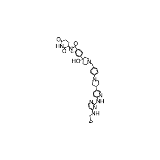 O=C1CCC(N2Cc3cc(C4(O)CCN(Cc5ccc(N6CCC(c7ccc(Nc8nccc(NCC9CC9)n8)nc7)CC6)cc5)CC4)ccc3C2=O)C(=O)N1